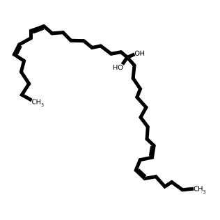 CCCCC/C=C\C/C=C\CCCCCCCCC(O)(O)CCCCCCCC/C=C\C/C=C\CCCCC